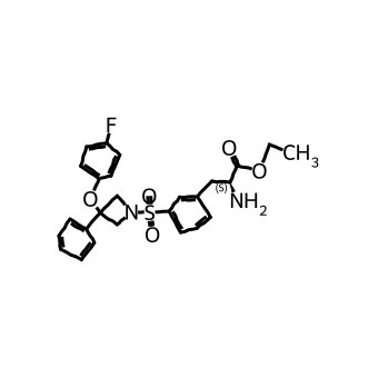 CCOC(=O)[C@@H](N)Cc1cccc(S(=O)(=O)N2CC(Oc3ccc(F)cc3)(c3ccccc3)C2)c1